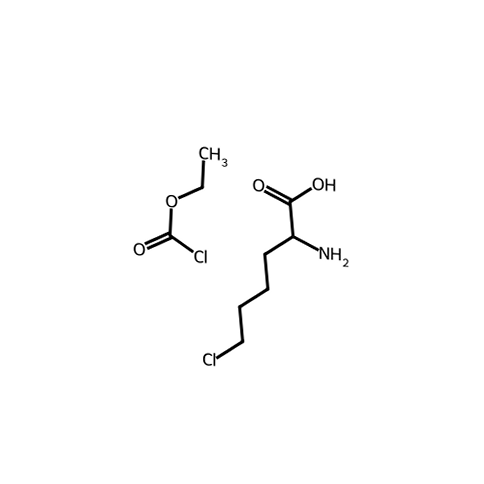 CCOC(=O)Cl.NC(CCCCCl)C(=O)O